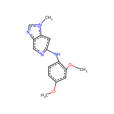 COc1ccc(Nc2cc3c(cn2)ncn3C)c(OC)c1